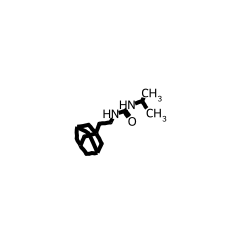 CC(C)NC(=O)NCCC12CC3CC(CC(C3)C1)C2